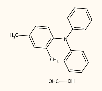 Cc1ccc(N(c2ccccc2)c2ccccc2)c(C)c1.O=CO